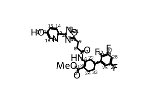 COC(=O)C1=C(NC(=O)CCc2nc(-c3ccc(O)cn3)no2)CC(c2cc(F)cc(F)c2F)CC1